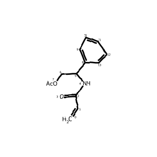 C=CC(=O)NC(COC(C)=O)c1ccccc1